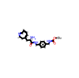 CC(C)(C)OC(=O)NCC12CCC(CNC(=O)[C@@H](N)C/C3=C/C=C\C=N\CC3)(CC1)CC2